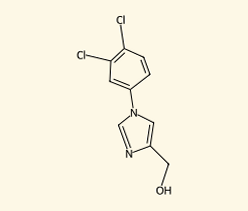 OCc1cn(-c2ccc(Cl)c(Cl)c2)cn1